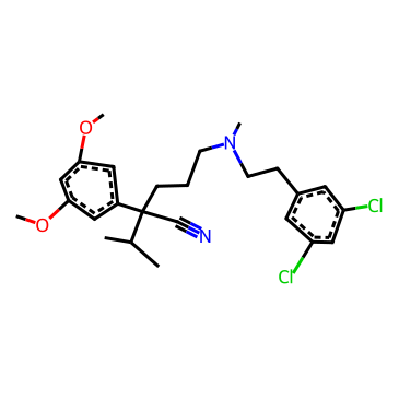 COc1cc(OC)cc(C(C#N)(CCCN(C)CCc2cc(Cl)cc(Cl)c2)C(C)C)c1